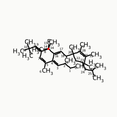 CCC/C=C(C(/C)=C\C(=C/C(C)(C)C)CF)\C(=C/C(C)C(C)(CCCC(C)C)/C(C)=C(/C)CC)C(C)C